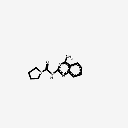 Cc1nc(NC(=O)N2CCCC2)nc2ccccc12